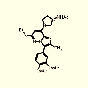 CCSc1cc(N2CC[C@@H](NC(C)=O)C2)c2nc(C)c(-c3ccc(OC)c(OC)c3)n2n1